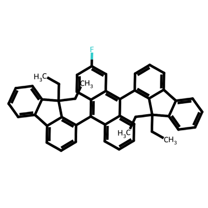 CCC1(CC)c2ccccc2-c2cccc(-c3c4ccccc4c(-c4cccc5c4C(CC)(CC)c4ccccc4-5)c4cc(F)ccc34)c21